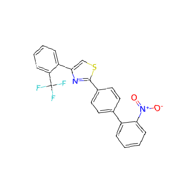 O=[N+]([O-])c1ccccc1-c1ccc(-c2nc(-c3ccccc3C(F)(F)F)cs2)cc1